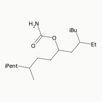 CCCC(C)C(C)CCC(CC(CC)C(C)CC)OC(N)=O